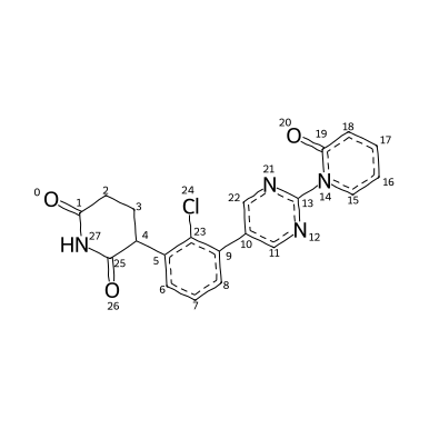 O=C1CCC(c2cccc(-c3cnc(-n4ccccc4=O)nc3)c2Cl)C(=O)N1